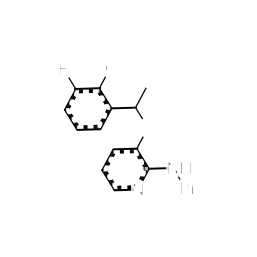 CC(Oc1cccnc1NBr)c1cccc(F)c1Cl